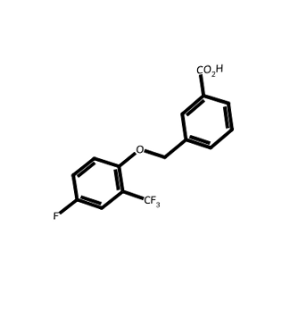 O=C(O)c1cccc(COc2ccc(F)cc2C(F)(F)F)c1